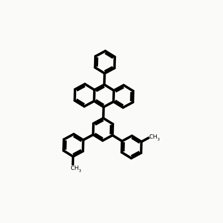 Cc1cccc(-c2cc(-c3cccc(C)c3)cc(-c3c4ccccc4c(-c4ccccc4)c4ccccc34)c2)c1